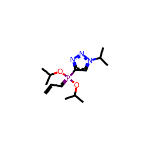 C=CC=P(OC(C)C)(OC(C)C)c1cn(C(C)C)nn1